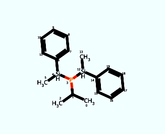 CC(C)P([SiH](C)c1ccccc1)[SiH](C)c1ccccc1